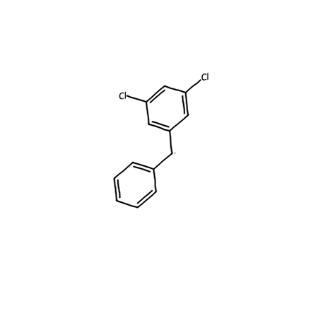 Clc1cc(Cl)cc([CH]c2ccccc2)c1